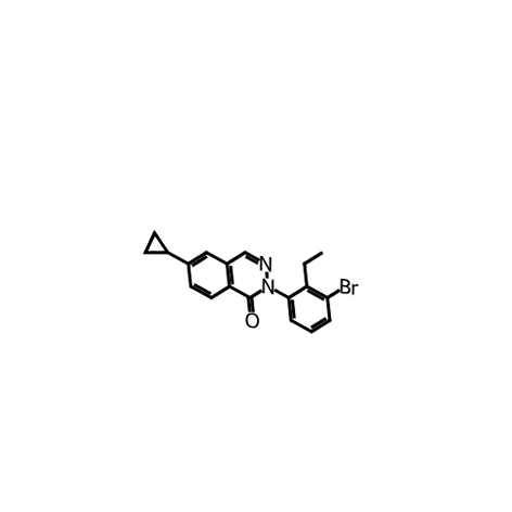 CCc1c(Br)cccc1-n1ncc2cc(C3CC3)ccc2c1=O